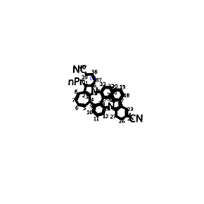 CCCC1C2=C3C(C=CC=C2)c2cccc(-n4c5c(c6ccccc64)C=C(C#N)CC5)c2-c2ccccc2N3C1/C=C\CC#N